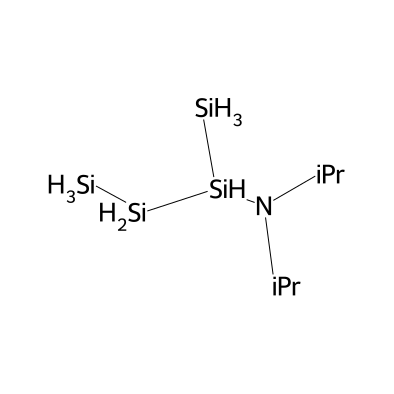 CC(C)N(C(C)C)[SiH]([SiH3])[SiH2][SiH3]